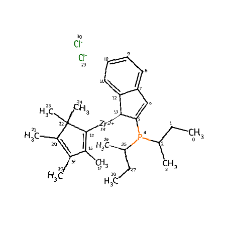 CCC(C)P(C1=Cc2ccccc2[CH]1[Zr+2][C]1=C(C)C(C)=C(C)C1(C)C)C(C)CC.[Cl-].[Cl-]